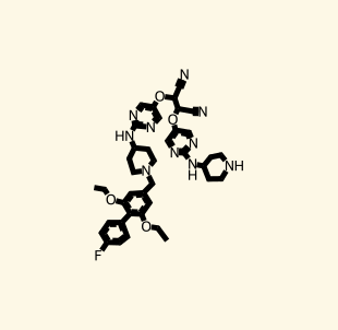 CCOc1cc(CN2CCC(Nc3ncc(OC(C#N)C(C#N)Oc4cnc(NC5CCNCC5)nc4)cn3)CC2)cc(OCC)c1-c1ccc(F)cc1